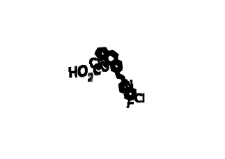 O=C(O)COC1c2cc(/C=C/c3ccc4cc(F)c(Cl)cc4n3)ccc2C=Cc2cccc(Cl)c21